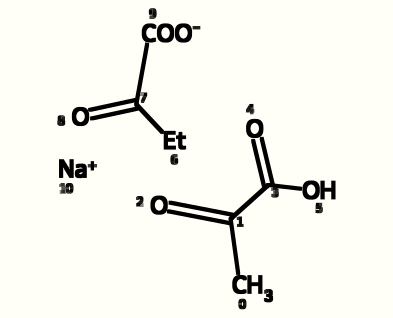 CC(=O)C(=O)O.CCC(=O)C(=O)[O-].[Na+]